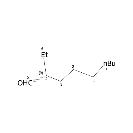 CCCCCCC[C@H](C=O)CC